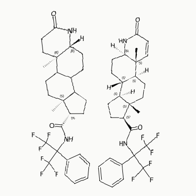 C[C@]12C=CC(=O)N[C@@H]1CC[C@@H]1[C@@H]2CC[C@]2(C)[C@@H](C(=O)NC(c3ccccc3)(C(F)(F)F)C(F)(F)F)CC[C@@H]12.C[C@]12CCC3C(CC[C@H]4NC(=O)CC[C@]34C)C1CC[C@@H]2C(=O)NC(c1ccccc1)(C(F)(F)F)C(F)(F)F